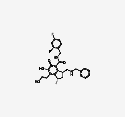 C[C@H]1C[C@H](CNCc2ccccc2)c2c(C(=O)NCc3ccc(F)cc3F)c(=O)c(O)c(/C=C/O)n21